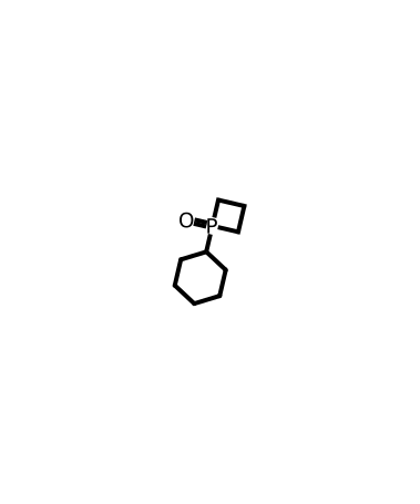 O=P1(C2CCCCC2)CCC1